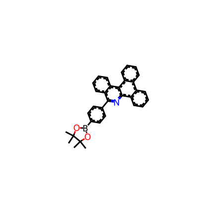 CC1(C)OB(c2ccc(-c3nc4c5ccccc5c5ccccc5c4c4ccccc34)cc2)OC1(C)C